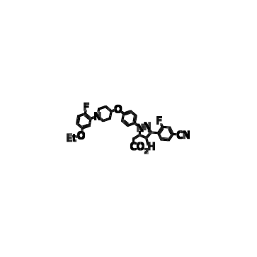 CCOc1ccc(F)c(N2CCC(Oc3ccc(N4N=C(c5ccc(C#N)cc5F)C(C)C4CC(=O)O)cc3)CC2)c1